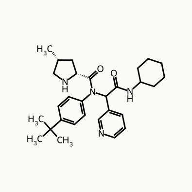 C[C@H]1CN[C@@H](C(=O)N(c2ccc(C(C)(C)C)cc2)C(C(=O)NC2CCCCC2)c2cccnc2)C1